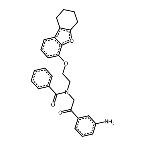 Nc1cccc(C(=O)CN(CCOc2cccc3c4c(oc23)CCCC4)C(=O)c2ccccc2)c1